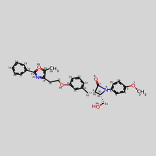 COc1ccc(N2C(=O)[C@@H](Cc3cccc(OCCc4nc(-c5ccccc5)oc4C)c3)[C@H]2CO)cc1